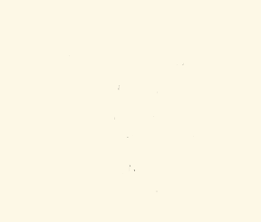 Clc1cccc2c1oc1ncccc12